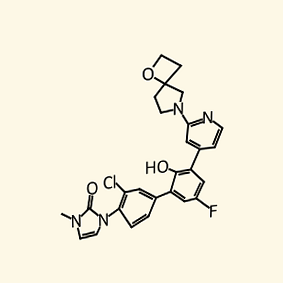 Cn1ccn(-c2ccc(-c3cc(F)cc(-c4ccnc(N5CCC6(CCO6)C5)c4)c3O)cc2Cl)c1=O